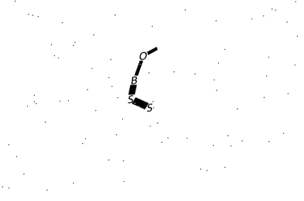 COB=S=S